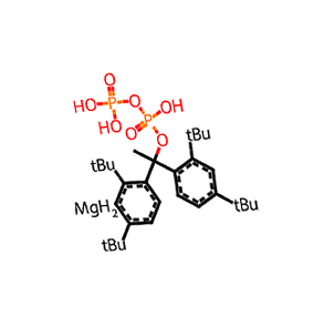 CC(C)(C)c1ccc(C(C)(OP(=O)(O)OP(=O)(O)O)c2ccc(C(C)(C)C)cc2C(C)(C)C)c(C(C)(C)C)c1.[MgH2]